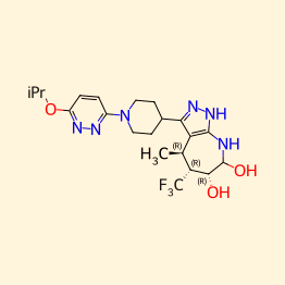 CC(C)Oc1ccc(N2CCC(c3n[nH]c4c3[C@H](C)[C@@H](C(F)(F)F)[C@@H](O)C(O)N4)CC2)nn1